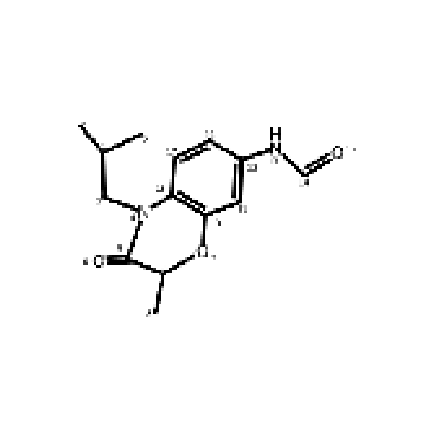 CC(C)CN1C(=O)C(C)Oc2cc(NC=O)ccc21